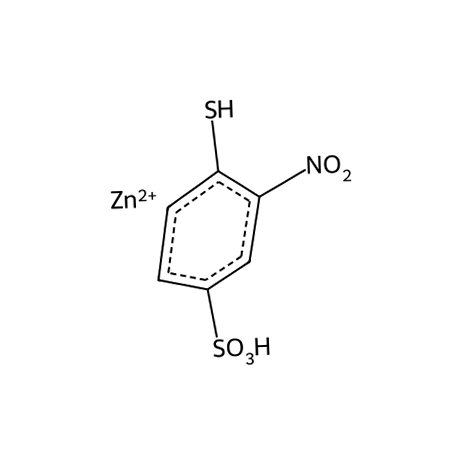 O=[N+]([O-])c1cc(S(=O)(=O)O)ccc1S.[Zn+2]